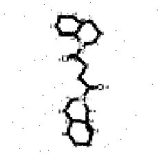 O=C(CCC(=O)N1CCCC2CCCC=C21)N1CCC2CCCC=C2C1